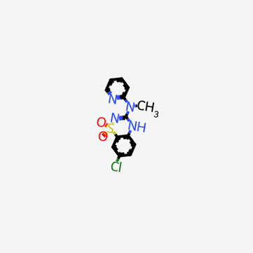 CN(C1=NS(=O)(=O)c2cc(Cl)ccc2N1)c1ccccn1